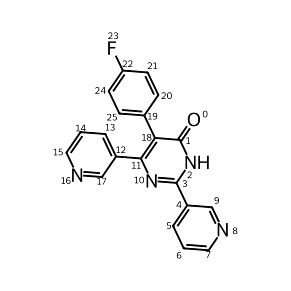 O=c1[nH]c(-c2cccnc2)nc(-c2cccnc2)c1-c1ccc(F)cc1